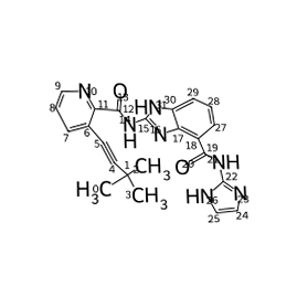 CC(C)(C)C#Cc1cccnc1C(=O)Nc1nc2c(C(=O)Nc3ncc[nH]3)cccc2[nH]1